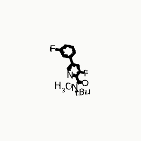 CN(C(=O)c1ncc(-c2cccc(F)c2)cc1F)C(C)(C)C